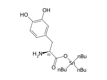 CCC[CH2][Sn]([CH2]CCC)([CH2]CCC)[O]C(=O)[C@@H](N)Cc1ccc(O)c(O)c1